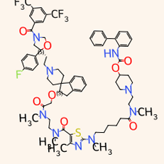 Cc1nc(N(C)CCCCCC(=O)N(C)CCN2CCC(OC(=O)Nc3ccccc3-c3ccccc3)CC2)sc1C(=O)N(C)CCN(C)C(=O)CO[C@H]1Cc2ccccc2C12CCN(CC[C@]1(c3ccc(F)cc3)CN(C(=O)c3cc(C(F)(F)F)cc(C(F)(F)F)c3)CO1)CC2